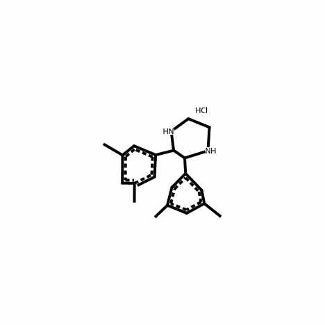 Cc1cc(C)cc(C2NCCNC2c2cc(C)cc(C)c2)c1.Cl